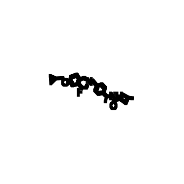 CC1CC(C(=O)N[C@@H](C)c2ccc(CN3Cc4ccc(OCC5CC5)cc4C(F)C3)cc2)C1